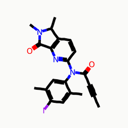 CC#CC(=O)N(c1ccc2c(n1)C(=O)N(C)C2C)c1cc(C)c(I)cc1C